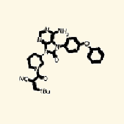 CC(C)(C)/C=C(/C#N)C(=O)N1CCC[C@H](n2c(=O)n(-c3ccc(Oc4ccccc4)cc3)c3c(N)ncnc32)C1